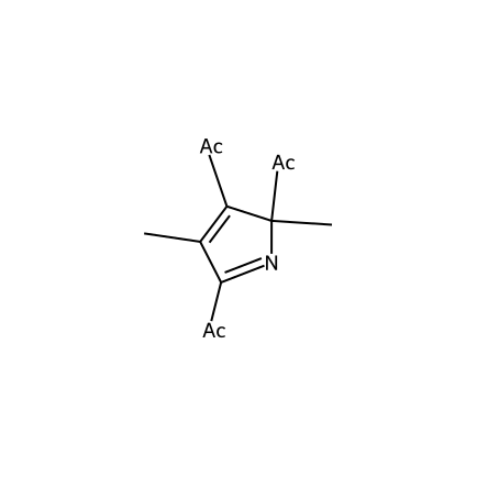 CC(=O)C1=NC(C)(C(C)=O)C(C(C)=O)=C1C